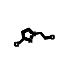 O=CCn1ccc(Cl)n1